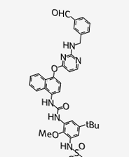 COc1c(NC(=O)Nc2ccc(Oc3ccnc(NCc4cccc(C=O)c4)n3)c3ccccc23)cc(C(C)(C)C)cc1NS(C)(=O)=O